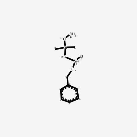 CC[SiH](CCc1ccccc1)O[Si](C)(C)O[SiH3]